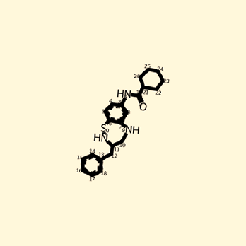 O=C(Nc1ccc2c(c1)NCC(Cc1ccccc1)NS2)C1CCCCC1